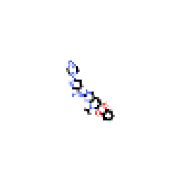 CC(C)n1c(=O)c(Oc2ccccc2)cc2cnc(Nc3ccc(N4CCN(C)CC4)nc3)nc21